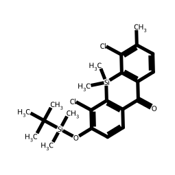 Cc1ccc2c(c1Cl)[Si](C)(C)c1c(ccc(O[Si](C)(C)C(C)(C)C)c1Cl)C2=O